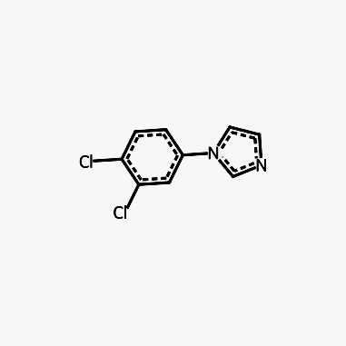 Clc1ccc(-n2ccnc2)cc1Cl